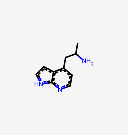 CC(N)Cc1ccnc2[nH]ccc12